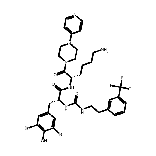 NCCCC[C@H](NC(=O)[C@@H](Cc1cc(Br)c(O)c(Br)c1)NC(=O)NCCc1cccc(C(F)(F)F)c1)C(=O)N1CCN(c2ccncc2)CC1